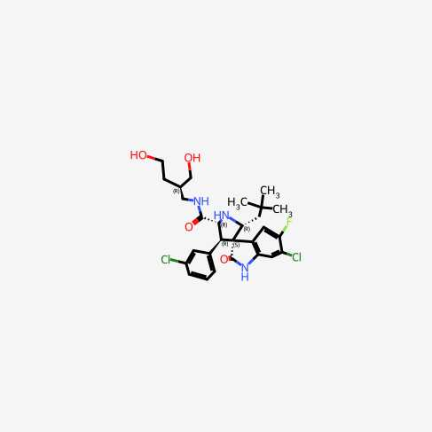 CC(C)(C)C[C@H]1N[C@@H](C(=O)NC[C@H](CO)CCO)[C@H](c2cccc(Cl)c2)[C@@]12C(=O)Nc1cc(Cl)c(F)cc12